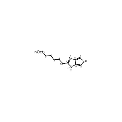 CCCCCCCCCCCCSc1nc2cscc2[nH]1